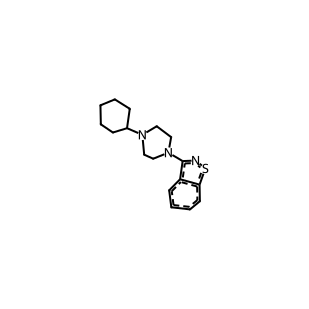 c1ccc2c(N3CCN(C4CCCCC4)CC3)nsc2c1